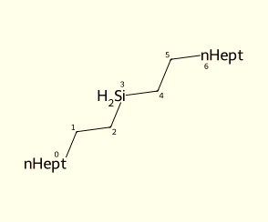 CCCCCCCCC[SiH2]CCCCCCCCC